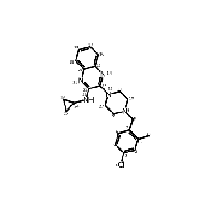 Cc1cc(Cl)ccc1CN1CCN(c2nc3ccccc3nc2NC2CC2)CC1